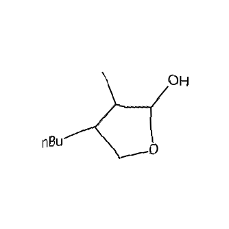 CCCCC1COC(O)C1C